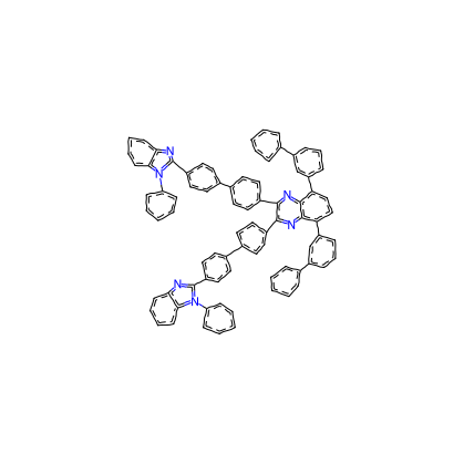 c1ccc(-c2cccc(-c3ccc(-c4cccc(-c5ccccc5)c4)c4nc(-c5ccc(-c6ccc(-c7nc8ccccc8n7-c7ccccc7)cc6)cc5)c(-c5ccc(-c6ccc(-c7nc8ccccc8n7-c7ccccc7)cc6)cc5)nc34)c2)cc1